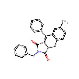 Cc1ccc2c(c1)C(c1ccccc1)=C1C(=O)N(Cc3ccccc3)C(=O)C1C2